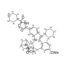 COc1ccc2c(c1)C1CC1(C(=O)N1C3CC1CN(C)C3)Cn1c-2c(C2CCCCC2)c2ccc(C(=O)NS(=O)(=O)C3CCOCC3)cc21